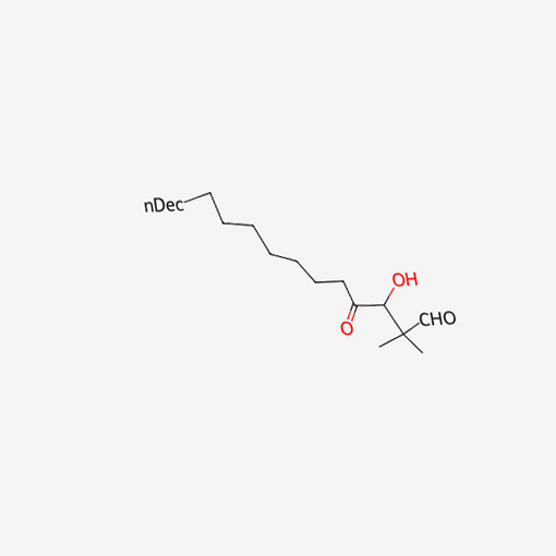 CCCCCCCCCCCCCCCCCC(=O)C(O)C(C)(C)C=O